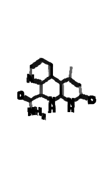 Cc1cc(=O)[nH]c2c1-c1cccnc1C(C(N)=O)N2